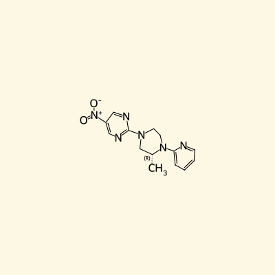 C[C@@H]1CN(c2ncc([N+](=O)[O-])cn2)CCN1c1ccccn1